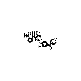 CN1CCN(C(=O)c2ccc(Nc3ncc(Br)c(N[C@@H]4CCC[C@@H]4C(=O)N(C)C)n3)cc2)CC1